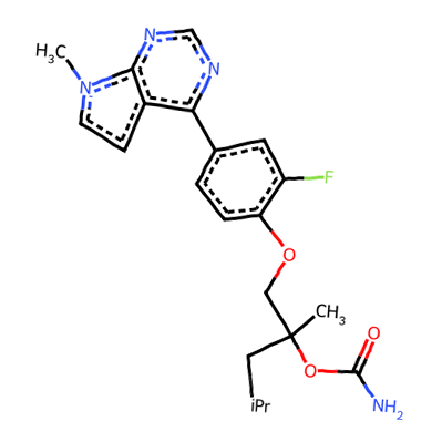 CC(C)CC(C)(COc1ccc(-c2ncnc3c2ccn3C)cc1F)OC(N)=O